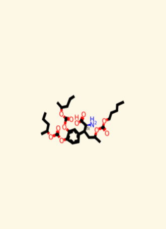 CCCCCOC(=O)OC(C)CC(c1ccc(OC(=O)OC(C)CCC)c(OC(=O)OC(C)CCC)c1)[C@H](N)C(=O)O